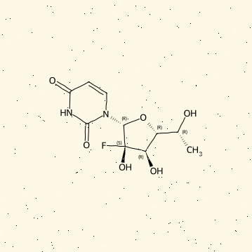 C[C@@H](O)[C@H]1O[C@@H](n2ccc(=O)[nH]c2=O)[C@@](O)(F)[C@@H]1O